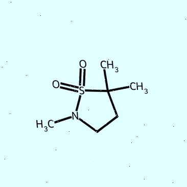 CN1CCC(C)(C)S1(=O)=O